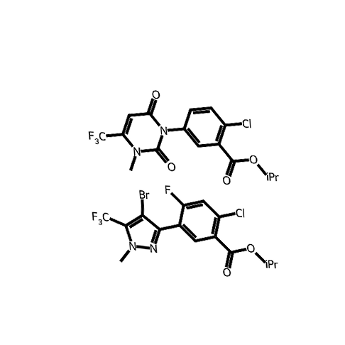 CC(C)OC(=O)c1cc(-c2nn(C)c(C(F)(F)F)c2Br)c(F)cc1Cl.CC(C)OC(=O)c1cc(-n2c(=O)cc(C(F)(F)F)n(C)c2=O)ccc1Cl